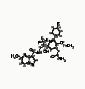 CCOc1c(CC(N)=O)cc([C@@](O)(CNC(=O)c2cnn3ccc(C)nc23)C(F)(F)F)nc1-c1ccc(F)cc1